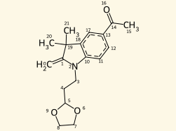 C=C1N(CCC2OCCO2)c2ccc(C(C)=O)cc2C1(C)C